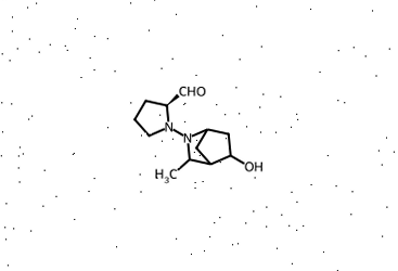 CC1C2CC(CC2O)N1N1CCC[C@H]1C=O